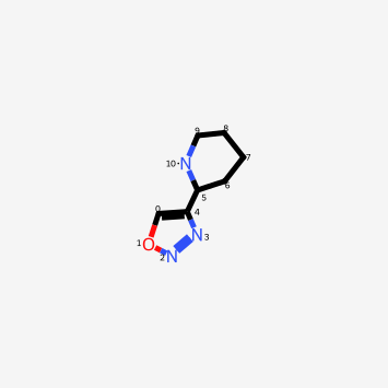 c1onnc1C1CCCC[N]1